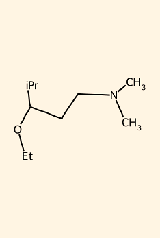 CCOC(CCN(C)C)C(C)C